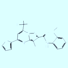 CSc1ccccc1NC(=O)c1nn2c(C(F)(F)F)cc(-c3cccs3)nc2c1Cl